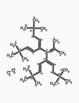 C[C](C)=[Zr+2]([C](C=C[Si](C)(C)C)=CC[Si](C)(C)C)[C](C=C[Si](C)(C)C)=CC[Si](C)(C)C.[Cl-].[Cl-]